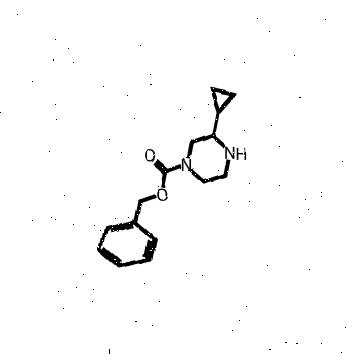 O=C(OCc1ccccc1)N1CCNC(C2CC2)C1